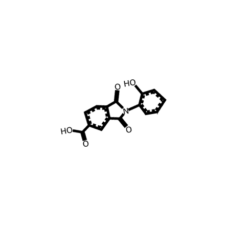 O=C(O)c1ccc2c(c1)C(=O)N(c1c[c]ccc1O)C2=O